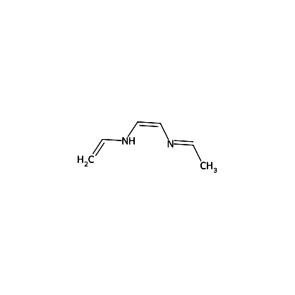 C=CN/C=C\N=C\C